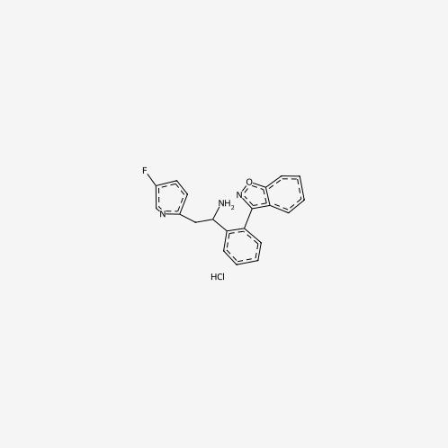 Cl.NC(Cc1ccc(F)cn1)c1ccccc1-c1noc2ccccc12